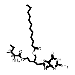 CCCCCCCCCCCC(=O)OCC(CCOC(=O)[C@@H](N)[C@@H](C)CC)Cc1nc2nc(N)[nH]c(=O)c2[nH]1